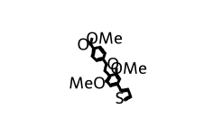 COC(=O)c1ccc(C(=O)Cc2c(OC)cc(-c3cccs3)cc2OC)cc1